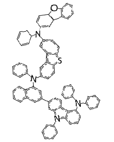 C1=CCC(N(C2=CC3c4ccccc4OC3C=C2)c2ccc3sc4ccc(N(c5ccccc5)c5cc(-c6ccc7c8c(N(c9ccccc9)c9ccccc9)cccc8n(-c8ccccc8)c7c6)cc6ccccc56)cc4c3c2)C=C1